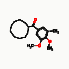 COc1cc(C(=O)C2CCCCCCCCC2)cc(C)c1OC